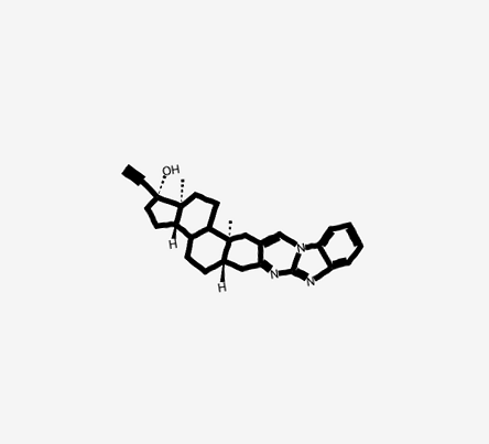 C#C[C@]1(O)CC[C@H]2C3CC[C@H]4Cc5nc6nc7ccccc7n6cc5C[C@]4(C)C3CC[C@@]21C